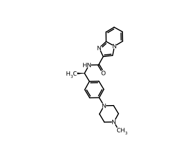 C[C@@H](NC(=O)c1cn2ccccc2n1)c1ccc(N2CCN(C)CC2)cc1